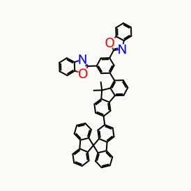 CC1(C)c2ccc(-c3ccc4c(c3)C3(c5ccccc5-c5ccccc53)c3ccccc3-4)cc2-c2cccc(-c3cc(-c4nc5ccccc5o4)cc(-c4nc5ccccc5o4)c3)c21